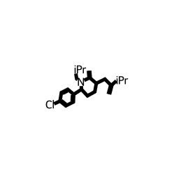 C=C(CC1CCC(c2ccc(Cl)cc2)N(CC(C)C)C1=C)C(C)C